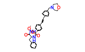 CONC(=O)C(Cc1ccccc1)NS(=O)(=O)c1ccc(C#Cc2ccc(CN3CCOCC3)cc2)cc1